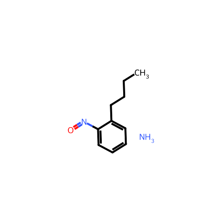 CCCCc1ccccc1N=O.N